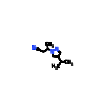 CC(C)c1cnn(C(C)CC#N)c1